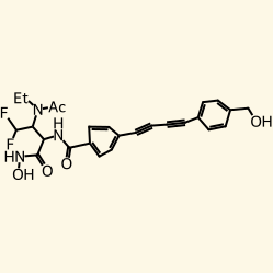 CCN(C(C)=O)C(C(F)F)C(NC(=O)c1ccc(C#CC#Cc2ccc(CO)cc2)cc1)C(=O)NO